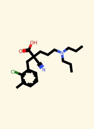 CCCN(CCC)CCCC(C#N)(Cc1cccc(C)c1Cl)C(=O)O